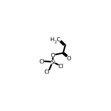 C=CC(=O)O[Si](Cl)(Cl)Cl